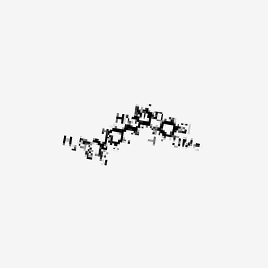 COc1cc(Nc2ccnc3[nH]c(C4=CCN(C(=O)CN(C)C)CC4)cc23)c(OC)cc1Cl